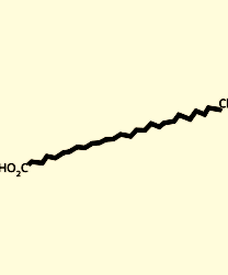 O=C(O)CCCCCCCCCCCCCCCCCCCCCCCCCCCl